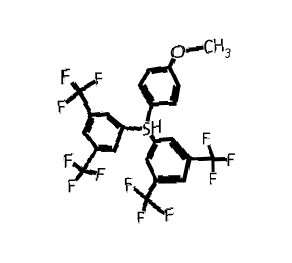 COc1ccc([SH](c2cc(C(F)(F)F)cc(C(F)(F)F)c2)c2cc(C(F)(F)F)cc(C(F)(F)F)c2)cc1